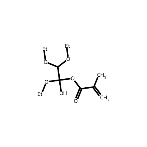 C=C(C)C(=O)OC(O)(OCC)C(OCC)OCC